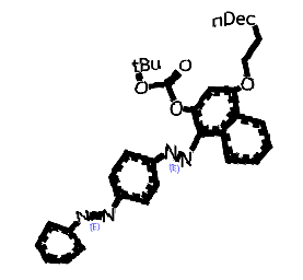 CCCCCCCCCCCCOc1cc(OC(=O)OC(C)(C)C)c(/N=N/c2ccc(/N=N/c3ccccc3)cc2)c2ccccc12